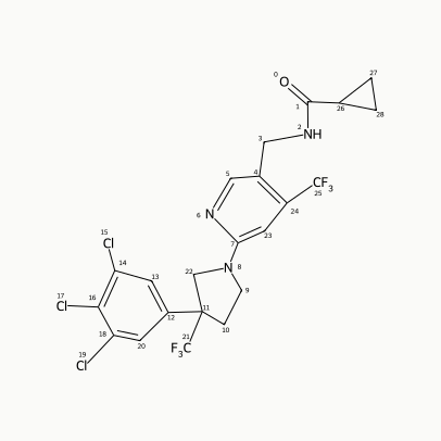 O=C(NCc1cnc(N2CCC(c3cc(Cl)c(Cl)c(Cl)c3)(C(F)(F)F)C2)cc1C(F)(F)F)C1CC1